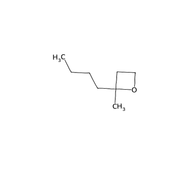 CCCCC1(C)CCO1